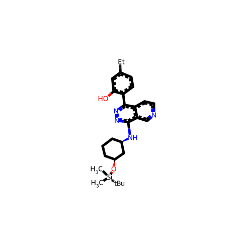 CCc1ccc(-c2nnc(N[C@@H]3CCC[C@H](O[Si](C)(C)C(C)(C)C)C3)c3cnccc23)c(O)c1